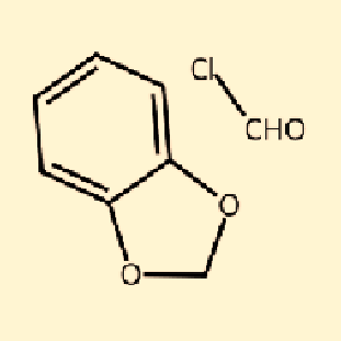 O=CCl.c1ccc2c(c1)OCO2